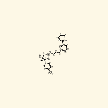 FC(F)(F)C1=CCC([C@]23C[C@H]2CN(CCCCc2nccc(-c4ccccc4)n2)C3)C=C1